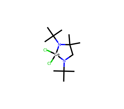 CC(C)(C)[N]1CC(C)(C)[N](C(C)(C)C)[Ge]1([Cl])[Cl]